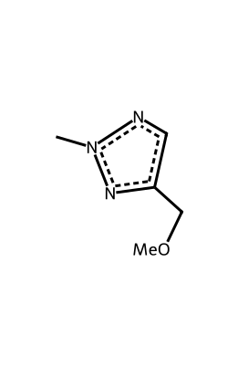 COCc1cnn(C)n1